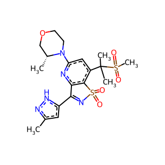 Cc1cc(C2=NS(=O)(=O)c3c(C(C)(C)S(C)(=O)=O)cc(N4CCOC[C@H]4C)nc32)[nH]n1